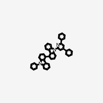 c1ccc(-c2cc(-c3ccccc3)nc(-n3c4ccccc4c4c(-c5cccc6c5c5ccccc5n6-c5ccccc5)cccc43)c2)cc1